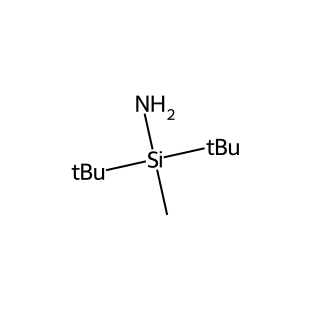 CC(C)(C)[Si](C)(N)C(C)(C)C